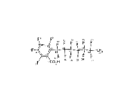 O=C(O)c1c(F)c(F)c(F)c(F)c1C(F)(F)C(F)(F)C(F)(F)C(F)(F)C(F)(F)C(F)(F)C(F)(F)F